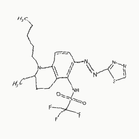 CCCCCN1c2ccc(N=Nc3nncs3)c(NS(=O)(=O)C(F)(F)F)c2CCC1C